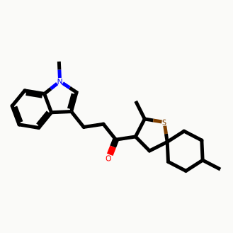 CC1CCC2(CC1)CC(C(=O)CCc1cn(C)c3ccccc13)C(C)S2